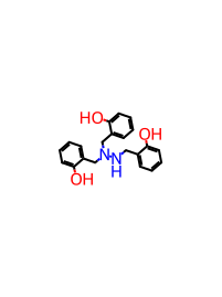 Oc1ccccc1CNN(Cc1ccccc1O)Cc1ccccc1O